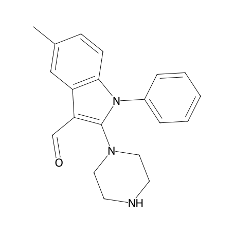 Cc1ccc2c(c1)c(C=O)c(N1CCNCC1)n2-c1ccccc1